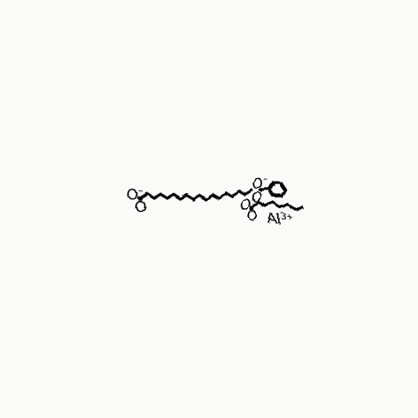 CCCCCCCC(=O)[O-].CCCCCCCCCCCCCCCCCC(=O)[O-].O=C([O-])c1ccccc1.[Al+3]